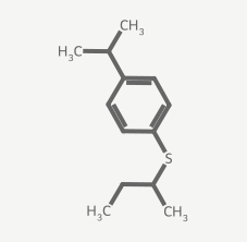 CCC(C)Sc1ccc(C(C)C)cc1